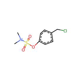 CN(C)S(=O)(=O)Oc1ccc(CCl)cc1